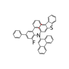 Fc1cc(-c2ccccc2)cc(-c2ccccc2)c1N(c1ccc2c(c1)sc1ccccc12)c1cc2ccccc2c2ccccc12